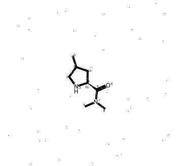 CC1CN[C@H](C(=O)N(C)C)C1